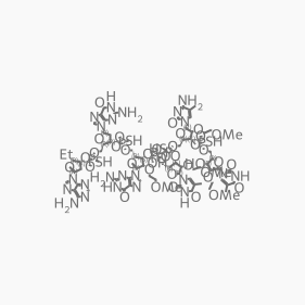 CC[C@H]1O[C@@H](n2cnc3c(N)ncnc32)C[C@H]1OP(=O)(S)OC[C@H]1O[C@@H](n2cnc3c(=O)[nH]c(N)nc32)C[C@H]1OP(=O)(S)OC[C@H]1O[C@@H](n2cnc3c(=O)[nH]c(N)nc32)C(OCCOC)[C@H]1OP(=O)(O)OC[C@H]1O[C@@H](n2cc(C)c(=O)[nH]c2=O)C(OCCOC)[C@H]1OP(=O)(S)OC[C@H]1O[C@@H](n2cc(C)c(N)nc2=O)C(OCCOC)[C@H]1OP(=O)(S)OC[C@H]1O[C@@H](n2cc(C)c(=O)[nH]c2=O)C(OCCOC)[C@H]1O